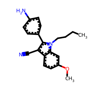 CCCCn1c(-c2ccc(N)cc2)c(C#N)c2ccc(OC)cc21